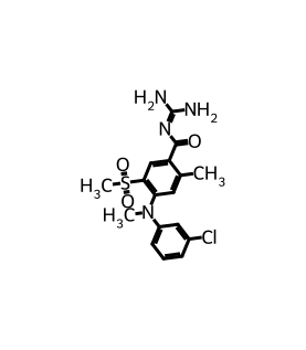 Cc1cc(N(C)c2cccc(Cl)c2)c(S(C)(=O)=O)cc1C(=O)N=C(N)N